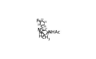 CC(=O)Nc1cc(C)c2[nH]nc(-c3cccc(F)c3)c2c1